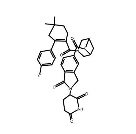 CC1(C)CCC(C(=O)N2CC3CC(C2)N3C(=O)c2ccc3c(c2)CN(C2CCC(=O)NC2=O)C3=O)=C(c2ccc(Cl)cc2)C1